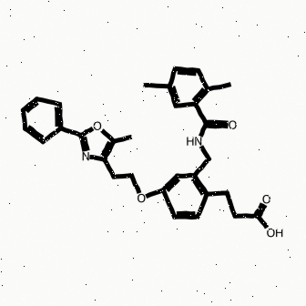 Cc1ccc(C)c(C(=O)NCc2cc(OCCc3nc(-c4ccccc4)oc3C)ccc2CCC(=O)O)c1